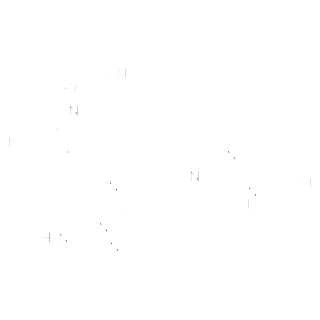 CC[C@H](CCc1nc2c(-c3ccc(-c4ncc(C)[nH]4)nc3)cnn2c(N)c1C1CC1)N(C)C(=O)CO